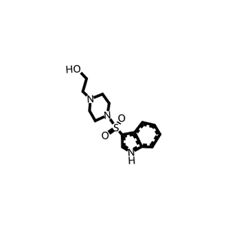 O=S(=O)(c1c[nH]c2ccccc12)N1CCN(CCO)CC1